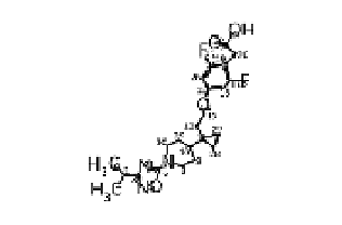 CC(C)c1noc(N2CCC(C3(CCOc4cc(F)c(CC(=O)O)c(F)c4)CC3)CC2)n1